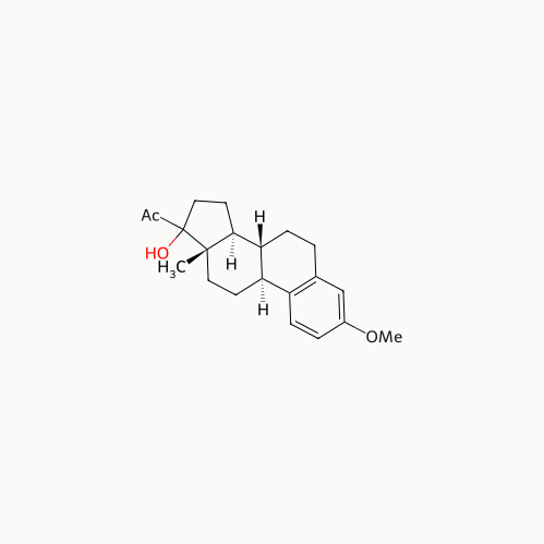 COc1ccc2c(c1)CC[C@@H]1[C@@H]2CC[C@@]2(C)[C@H]1CCC2(O)C(C)=O